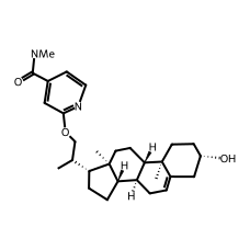 CNC(=O)c1ccnc(OCC(C)[C@H]2CC[C@H]3[C@@H]4CC=C5C[C@@H](O)CC[C@]5(C)[C@H]4CC[C@]23C)c1